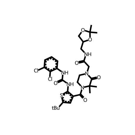 CC1(C)OCC(CNC(=O)CN2CCN(C(=O)c3cc(C(C)(C)C)sc3NC(=O)Nc3cccc(Cl)c3Cl)C(C)(C)C2=O)O1